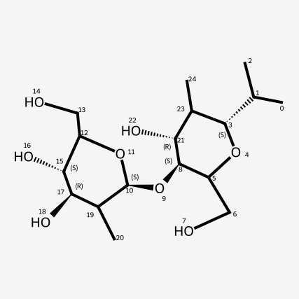 CC(C)[C@@H]1OC(CO)[C@@H](O[C@@H]2OC(CO)[C@@H](O)[C@H](O)C2C)[C@H](O)C1C